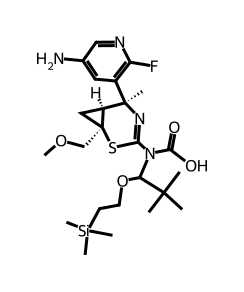 COC[C@]12C[C@H]1[C@@](C)(c1cc(N)cnc1F)N=C(N(C(=O)O)C(OCC[Si](C)(C)C)C(C)(C)C)S2